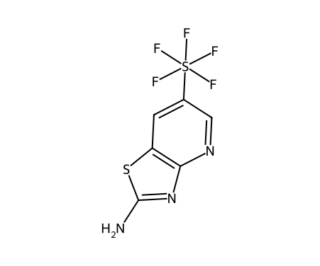 Nc1nc2ncc(S(F)(F)(F)(F)F)cc2s1